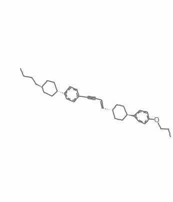 CCCC[C@H]1CC[C@H](c2ccc(C#CC=C[C@H]3CC[C@H](c4ccc(OCCC)cc4)CC3)cc2)CC1